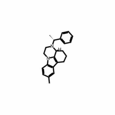 Cc1ccc2c(c1)c1c3n2CCN([C@H](C)c2ccccc2)[C@@H]3CCC1